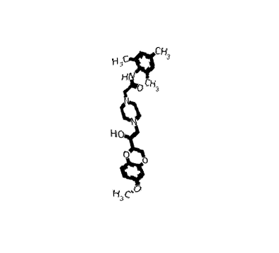 COc1ccc2c(c1)OCC(C(O)CN1CCN(CC(=O)Nc3c(C)cc(C)cc3C)CC1)O2